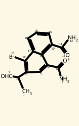 CC(C=O)c1cc(C(N)=O)c2c(C(N)=O)cccc2c1Br